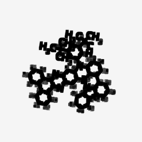 CC(C)(C)c1cc(N2c3cc4nc5c6ccccc6c6ccccc6c5nc4cc3B3c4c(cccc42)-c2cccc4c5ccccc5n3c24)cc(C(C)(C)C)c1